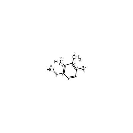 Cc1c(Br)ccc(CO)c1C